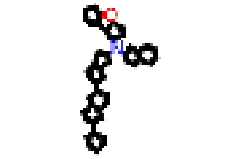 c1ccc(-c2ccc3cc(-c4ccc5ccc(N(c6ccc7ccccc7c6)c6ccc7oc8ccccc8c7c6)cc5c4)ccc3c2)cc1